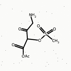 CC(=O)OC(=O)C(OS(C)(=O)=O)C(=O)CN